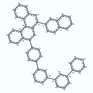 c1cc(-c2ccc(-c3cc4c(-c5ccc6ccccc6c5)nc5ccccc5c4c4ccccc34)cc2)cc(-c2cccc(-c3ccncc3)n2)c1